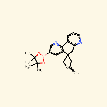 C=CCC1(CC)Cc2ncccc2-c2ncc(B3OC(C)(C)C(C)(C)O3)cc21